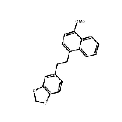 COc1ccc(CCc2ccc3c(c2)OCO3)c2ccccc12